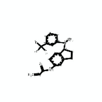 C=CC(=O)Nc1ccc2c(c1)CCC2N(C)c1cccc(C(F)(F)F)c1